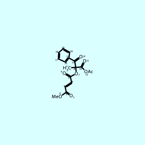 COC(=O)C=CC(=O)OC(C)(C(=O)OC(C)=O)C(=O)c1ccccc1